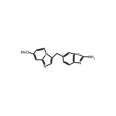 COc1ccn2c(Cc3ccc4nc(N)sc4c3)cnc2c1